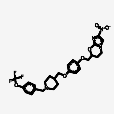 O=[N+]([O-])c1cn2c(n1)OC(COc1ccc(OCC3CCN(Cc4ccc(OC(F)(F)F)cc4)CC3)cc1)CC2